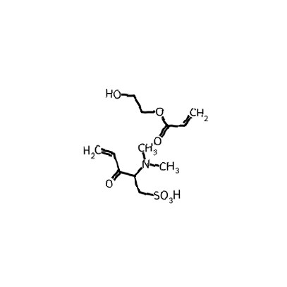 C=CC(=O)C(CS(=O)(=O)O)N(C)C.C=CC(=O)OCCO